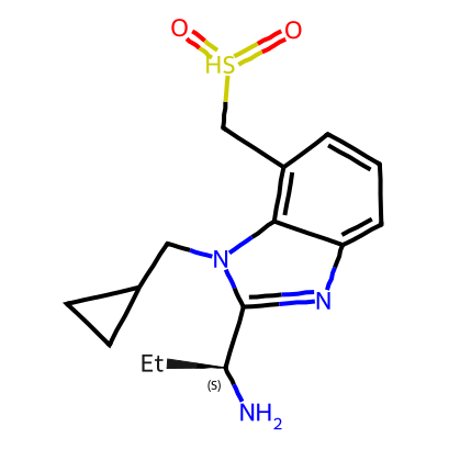 CC[C@H](N)c1nc2cccc(C[SH](=O)=O)c2n1CC1CC1